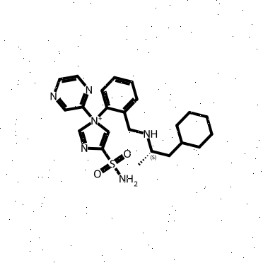 C[C@@H](CC1CCCCC1)NCc1ccccc1[N+]1(c2cnccn2)C=NC(S(N)(=O)=O)=C1